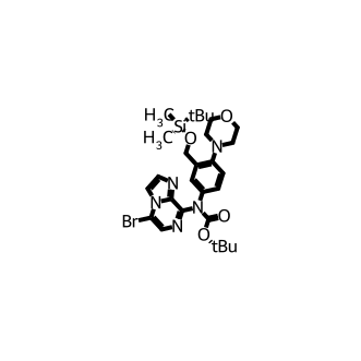 CC(C)(C)OC(=O)N(c1ccc(N2CCOCC2)c(CO[Si](C)(C)C(C)(C)C)c1)c1ncc(Br)n2ccnc12